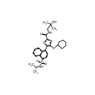 C[C@H](NS(=O)(=O)c1ccc(-c2sc(C(=O)NCC(C)(C)O)nc2OC2CCCCC2)c2ccccc12)C(F)(F)F